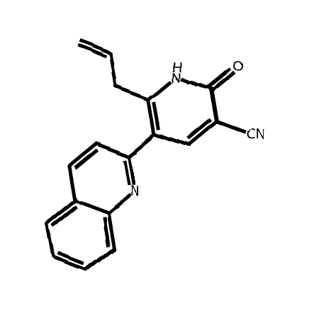 C=CCc1[nH]c(=O)c(C#N)cc1-c1ccc2ccccc2n1